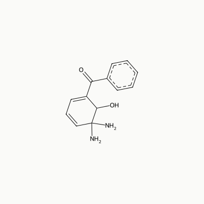 NC1(N)C=CC=C(C(=O)c2ccccc2)C1O